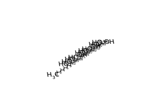 CCCCCCCC(O)CC(O)CC(O)CC(O)CC(O)CC(O)CC(O)CC(O)CC(O)CC(O)CC(O)CCO